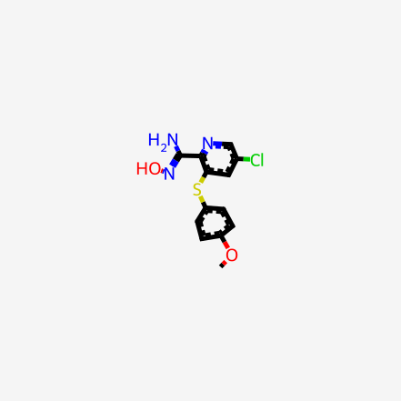 COc1ccc(Sc2cc(Cl)cnc2C(N)=NO)cc1